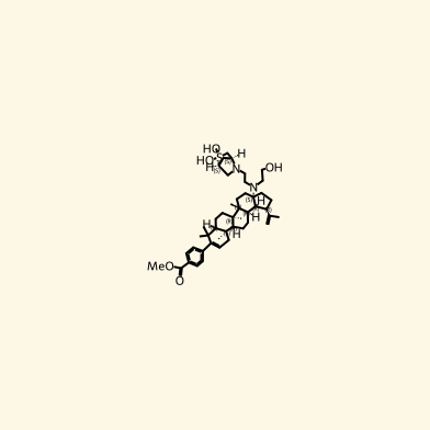 C=C(C)[C@@H]1CC[C@]2(N(CCO)CCN3C[C@@H]4C[C@H]3CS4(O)O)CC[C@]3(C)[C@H](CC[C@@H]4[C@@]5(C)CC=C(c6ccc(C(=O)OC)cc6)C(C)(C)[C@@H]5CC[C@]43C)[C@@H]12